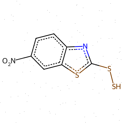 O=[N+]([O-])c1ccc2nc(SS)sc2c1